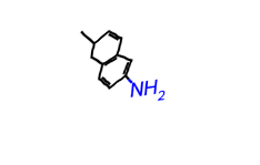 CC1C=Cc2cc(N)ccc2C1